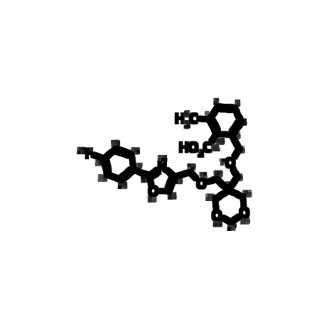 Cc1cccc(COCC2(COCc3coc(-c4ccc(F)cc4)n3)COCOC2)c1C(=O)O